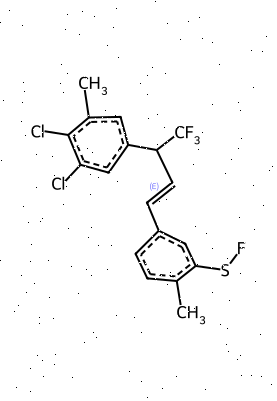 Cc1ccc(/C=C/C(c2cc(C)c(Cl)c(Cl)c2)C(F)(F)F)cc1SF